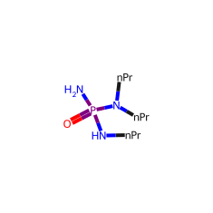 CCCNP(N)(=O)N(CCC)CCC